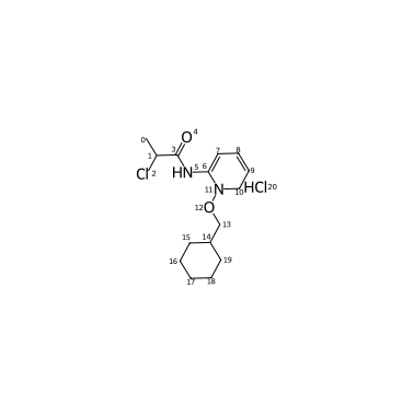 CC(Cl)C(=O)NC1=CC=CCN1OCC1CCCCC1.Cl